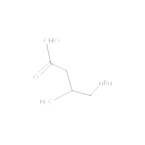 CCCCCC(C)CC(=O)C=O